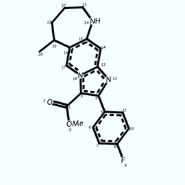 COC(=O)c1c(-c2ccc(F)cc2)nc2cc3c(cn12)C(C)CCCN3